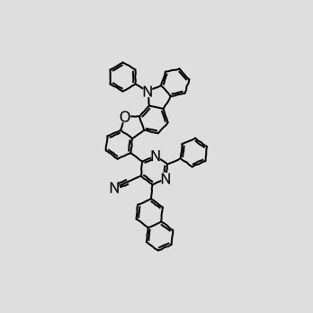 N#Cc1c(-c2ccc3ccccc3c2)nc(-c2ccccc2)nc1-c1cccc2oc3c(ccc4c5ccccc5n(-c5ccccc5)c43)c12